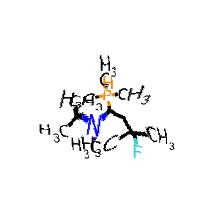 CC(C)N(C)C(CC(C)(C)F)[PH](C)(C)C